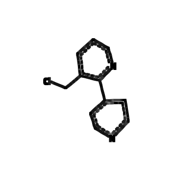 ClCc1cccnc1-c1ccncc1